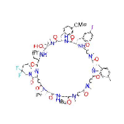 CC[C@H](C)C1NC(=O)[C@H](CC(C)C)N(C)C(=O)C[C@@H](C(=O)N2CCCC(F)(F)C2)N(C)C(=O)[C@@H](CC(C)C)NC(O)C(C)(C)N(C)C(=O)[C@H](Cc2ccc(OC)cc2)NC(=O)[C@H](Cc2cccc(I)c2)NC(=O)CN(C)C(=O)[C@H](Cc2ccc(C)cc2)N(C)C(=O)CN(C)C(=O)CN(C)C1=O